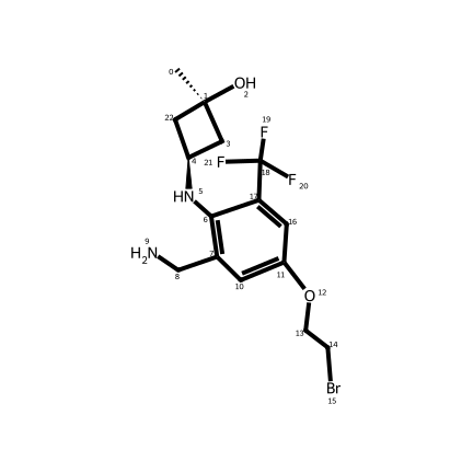 C[C@]1(O)C[C@@H](Nc2c(CN)cc(OCCBr)cc2C(F)(F)F)C1